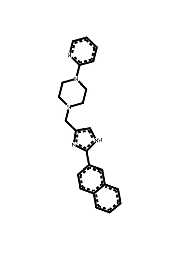 c1ccc(N2CCN(Cc3c[nH]c(-c4ccc5ccccc5c4)n3)CC2)nc1